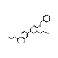 CCOC(=O)c1ccc(C(O)CN(CCO)C(=O)OCc2ccccc2)cc1F